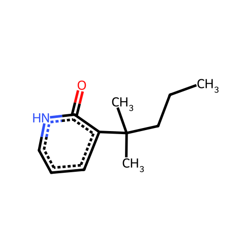 CCCC(C)(C)c1ccc[nH]c1=O